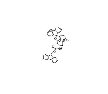 C#CC[C@H](CC(=O)OC(c1ccccc1)(c1ccccc1)c1ccccc1Cl)NC(=O)OCC1c2ccccc2-c2ccccc21